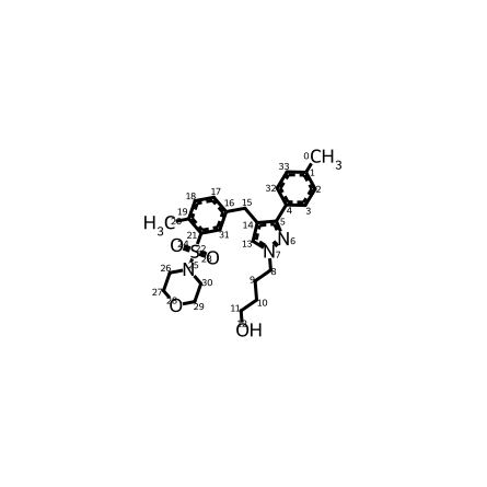 Cc1ccc(-c2nn(CCCCO)cc2Cc2ccc(C)c(S(=O)(=O)N3CCOCC3)c2)cc1